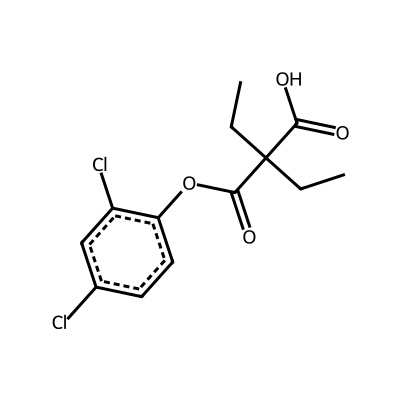 CCC(CC)(C(=O)O)C(=O)Oc1ccc(Cl)cc1Cl